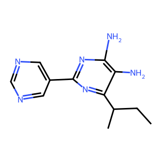 CCC(C)c1nc(-c2cncnc2)nc(N)c1N